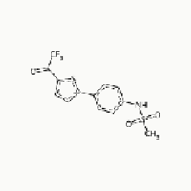 CS(=O)(=O)Nc1ccc(-c2ccc(C(=O)C(F)(F)F)s2)cc1